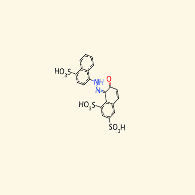 O=C1C=Cc2cc(S(=O)(=O)O)cc(S(=O)(=O)O)c2/C1=N/Nc1ccc(S(=O)(=O)O)c2ccccc12